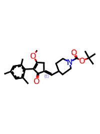 COC1=C(c2c(C)cc(C)cc2C)C(=O)/C(=C/C2CCN(C(=O)OC(C)(C)C)CC2)C1